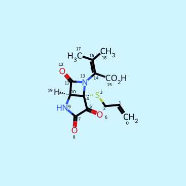 C=CCS[C@]12C(=O)C(=O)N[C@H]1C(=O)N2C(C(=O)O)=C(C)C